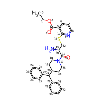 CCOC(=O)c1cccnc1SC[C@H](N)C(=O)N1CCC(C(c2ccccc2)c2ccccc2)CC1